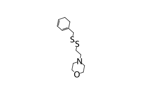 C1=CCCC(CSSCCN2CCOCC2)=C1